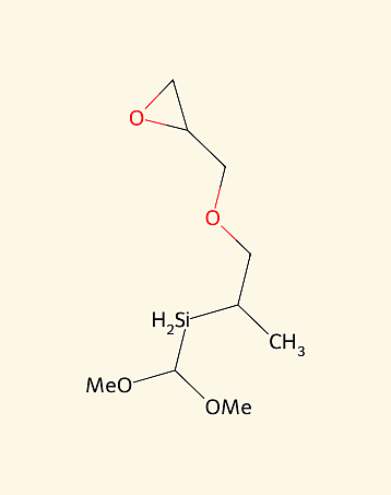 COC(OC)[SiH2]C(C)COCC1CO1